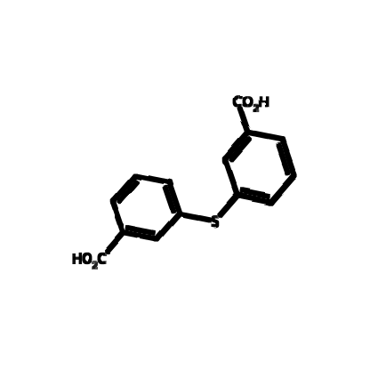 O=C(O)c1cccc(Sc2cccc(C(=O)O)c2)c1